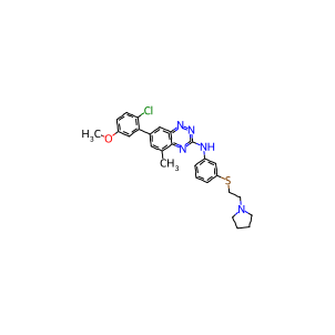 COc1ccc(Cl)c(-c2cc(C)c3nc(Nc4cccc(SCCN5CCCC5)c4)nnc3c2)c1